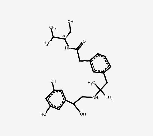 CC(C)[C@@H](CO)NC(=O)Cc1cccc(CC(C)(C)NCC(O)c2cc(O)cc(O)c2)c1